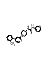 FC(F)(F)c1ccccc1-c1ccnc(N2CCC(NC(=S)Nc3cccnc3)CC2)c1